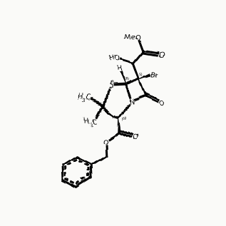 COC(=O)C(O)[C@]1(Br)C(=O)N2[C@@H](C(=O)OCc3ccccc3)C(C)(C)S[C@@H]21